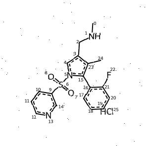 CNCc1cn(S(=O)(=O)c2cccnc2)c(-c2ccccc2F)c1C.Cl